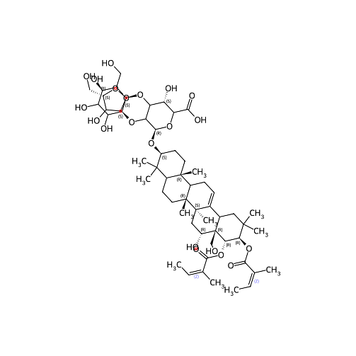 C/C=C(/C)C(=O)O[C@H]1[C@H](OC(=O)/C(C)=C\C)[C@@]2(CO)C(CC1(C)C)C1=CCC3[C@@]4(C)CC[C@H](O[C@@H]5OC(C(=O)O)[C@@H](O)C(O[C@H]6CC(O)[C@H](CO)O6)C5O[C@@H]5OC(CO)[C@H](O)C(O)C5O)C(C)(C)C4CC[C@@]3(C)[C@]1(C)C[C@H]2O